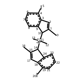 CC1=Cc2c(I)cccc2C1[Si](C)(C)C1C(C)=Cc2c(I)cccc21